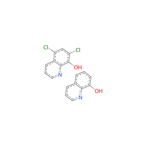 Oc1c(Cl)cc(Cl)c2cccnc12.Oc1cccc2cccnc12